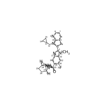 Cn1c(-c2cc3cccnc3n2CC2CC2)nc2cc(C(=O)N3C[C@H]4CC[C@@H]3[C@@H]4N)c(F)cc21